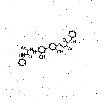 CC(=O)C(N=Nc1ccc(-c2ccc(N=NC(C(C)=O)C(=O)Nc3ccccc3)c(C)c2)cc1C)C(=O)Nc1ccccc1